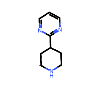 [CH]1CC(c2ncccn2)CCN1